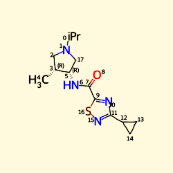 CC(C)N1C[C@@H](C)[C@@H](NC(=O)c2nc(C3CC3)ns2)C1